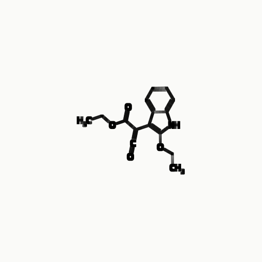 CCOC(=O)C(=C=O)c1c(OCC)[nH]c2ccccc12